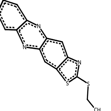 CCSc1nc2cc3nc4ccccc4nc3cc2s1